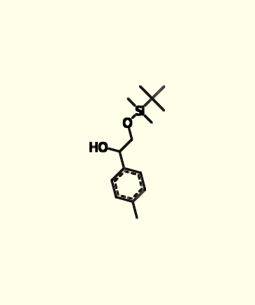 Cc1ccc(C(O)CO[Si](C)(C)C(C)(C)C)cc1